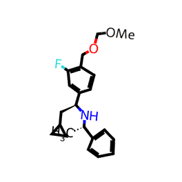 COCOCc1ccc([C@H](CC2CC2)N[C@@H](C)c2ccccc2)cc1F